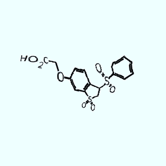 O=C(O)COc1ccc2c(c1)S(=O)(=O)CC2S(=O)(=O)c1ccccc1